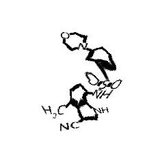 Cc1ccc(NS(=O)(=O)C2=CCCC(N3CCOCC3)=C2)c2[nH]cc(C#N)c12